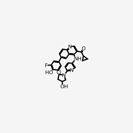 O=C(c1cnc2ccc(-c3cc(F)c(O)c(Cl)c3)cc2c1Nc1ccc(N2CCC(O)C2)nc1)C1CC1